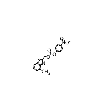 Cc1cccc2sc(COC(=O)Oc3ccc([N+](=O)[O-])cc3)nc12